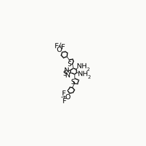 CC(F)(F)Oc1ccc(-c2ccc(-c3c(N)c(N)c(-c4ccc(-c5ccc(OC(C)(F)F)cc5)s4)c4nsnc34)s2)cc1